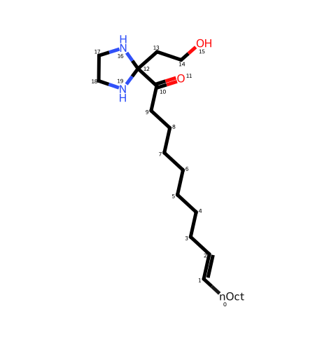 CCCCCCCCC=CCCCCCCCC(=O)C1(CCO)NCCN1